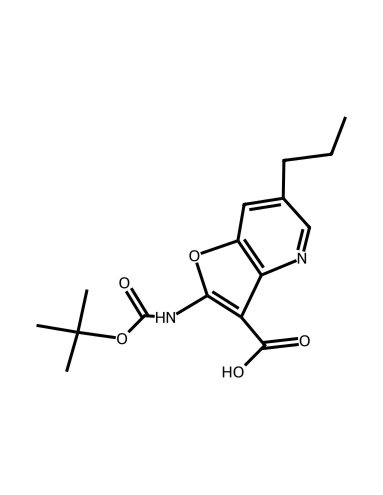 CCCc1cnc2c(C(=O)O)c(NC(=O)OC(C)(C)C)oc2c1